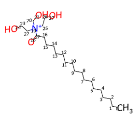 CCCCCCCCCCCCCCCCCC(=O)[N+](CO)(CCO)CCO